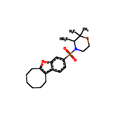 CC1(C)SCCN(S(=O)(=O)c2ccc3c4c(oc3c2)CCCCCC4)C1C(=O)O